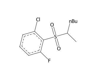 CCCCC(C)S(=O)(=O)c1c(F)cccc1Cl